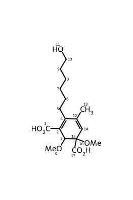 COC1C(C(=O)O)=C(CCCCCCO)C(C)=CC1(OC)C(=O)O